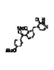 COc1ccc(C(=O)c2cccc(Cc3ccn[nH]c3=O)c2OC)cc1